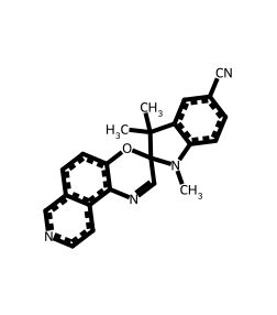 CN1c2ccc(C#N)cc2C(C)(C)C12C=Nc1c(ccc3cnccc13)O2